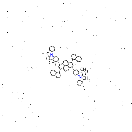 CC12CCC1(C)N(c1ccccc1)c1ccc(-c3cc(-c4cccc5ccccc45)c4ccc5c(-c6ccc7c(c6)C6(C)CCC6(C)N7c6ccccc6)cc(-c6cccc7ccccc67)c6ccc3c4c56)cc12